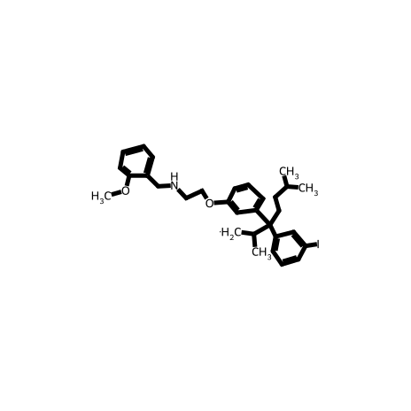 [CH2]C(C)C(CCC(C)C)(c1cccc(I)c1)c1cccc(OCCNCc2ccccc2OC)c1